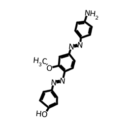 COc1cc(N=Nc2ccc(N)cc2)ccc1N=Nc1ccc(O)cc1